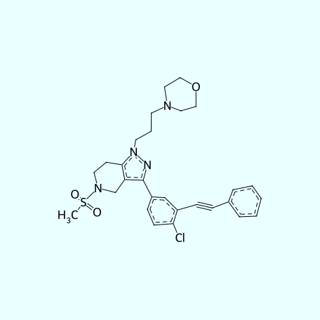 CS(=O)(=O)N1CCc2c(c(-c3ccc(Cl)c(C#Cc4ccccc4)c3)nn2CCCN2CCOCC2)C1